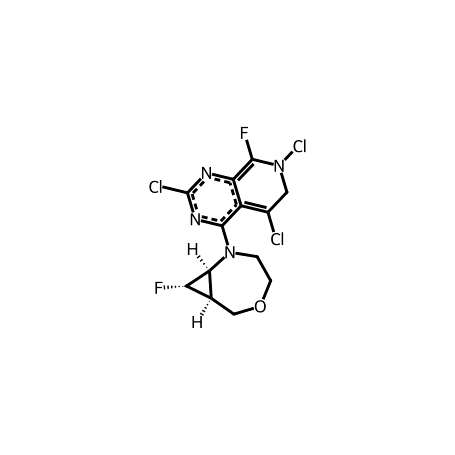 FC1=c2nc(Cl)nc(N3CCOC[C@H]4[C@H](F)[C@H]43)c2=C(Cl)CN1Cl